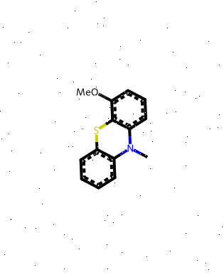 COc1cccc2c1Sc1ccccc1N2C